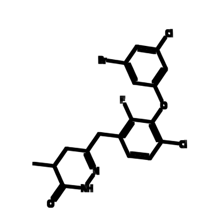 CC1CC(Cc2ccc(Cl)c(Oc3cc(Cl)cc(Br)c3)c2F)=NNC1=O